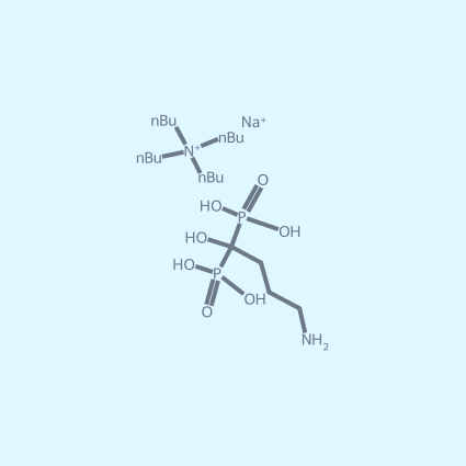 CCCC[N+](CCCC)(CCCC)CCCC.NCCCC(O)(P(=O)(O)O)P(=O)(O)O.[Na+]